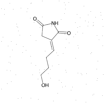 O=C1C/C(=C\CCCO)C(=O)N1